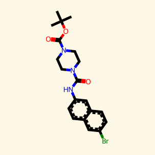 CC(C)(C)OC(=O)N1CCN(C(=O)Nc2ccc3cc(Br)ccc3c2)CC1